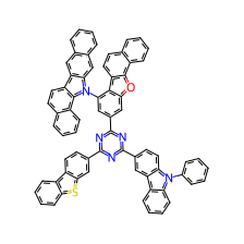 c1ccc(-n2c3ccccc3c3cc(-c4nc(-c5cc(-n6c7cc8ccccc8cc7c7ccc8ccccc8c76)c6c(c5)oc5c7ccccc7ccc56)nc(-c5ccc6c(c5)sc5ccccc56)n4)ccc32)cc1